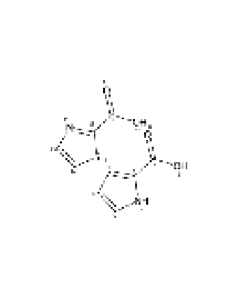 O=C(O)c1ccc[nH]1.O=C(O)c1nccs1